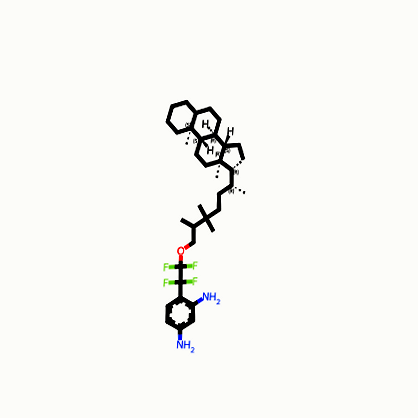 CC(COC(F)(F)C(F)(F)c1ccc(N)cc1N)C(C)(C)CC[C@@H](C)[C@H]1CC[C@H]2[C@@H]3CCC4CCCC[C@]4(C)[C@H]3CC[C@]12C